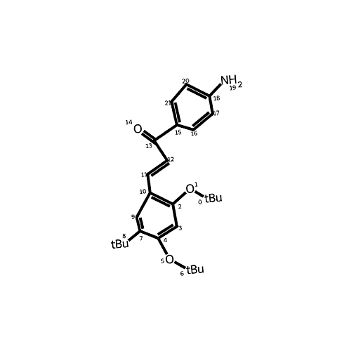 CC(C)(C)Oc1cc(OC(C)(C)C)c(C(C)(C)C)cc1/C=C/C(=O)c1ccc(N)cc1